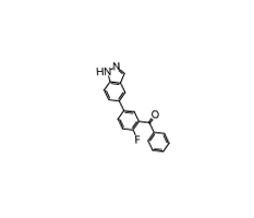 O=C(c1ccccc1)c1cc(-c2ccc3[nH]ncc3c2)ccc1F